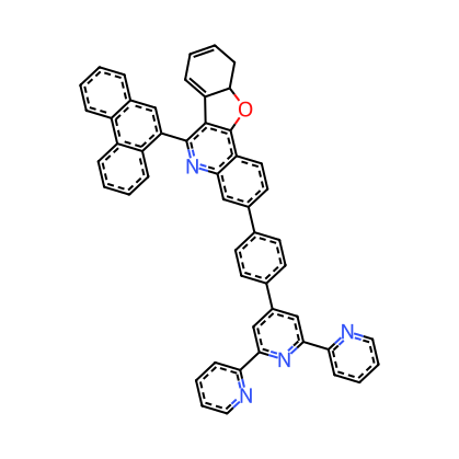 C1=CCC2Oc3c(c(-c4cc5ccccc5c5ccccc45)nc4cc(-c5ccc(-c6cc(-c7ccccn7)nc(-c7ccccn7)c6)cc5)ccc34)C2=C1